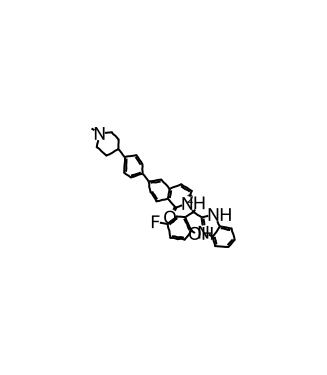 [2H]C(c1nc2ccccc2[nH]1)(c1cc(F)ccc1O)n1ccc2cc(-c3ccc(C4CCN(C)CC4)cc3)ccc2c1=O